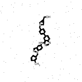 Cc1cccc(Cn2ncc3cc(Nc4ncnc5ccc(-c6ccc(CN7CC8C(CO)C8C7)cc6)cc45)ccc32)c1